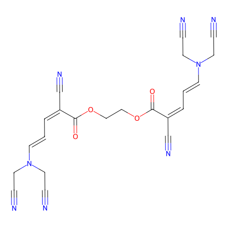 N#CCN(/C=C/C=C(/C#N)C(=O)OCCOC(=O)/C(C#N)=C\C=C\N(CC#N)CC#N)CC#N